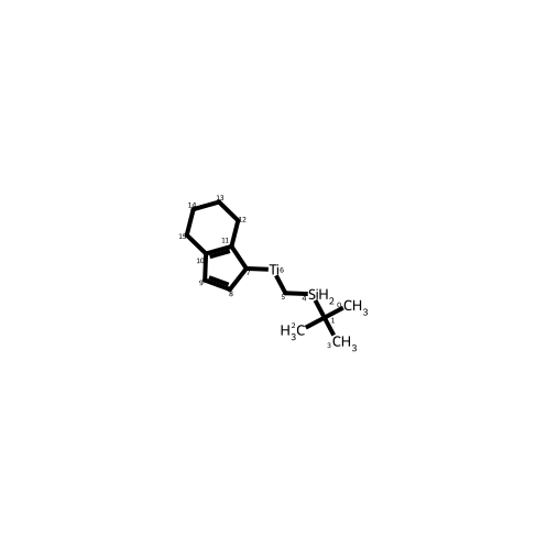 CC(C)(C)[SiH2][CH2][Ti][CH]1C=CC2=C1CCCC2